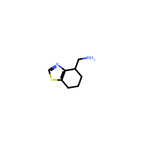 NCC1CCCc2scnc21